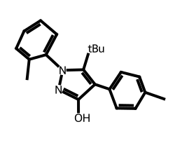 Cc1ccc(-c2c(O)nn(-c3ccccc3C)c2C(C)(C)C)cc1